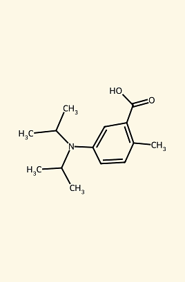 Cc1ccc(N(C(C)C)C(C)C)cc1C(=O)O